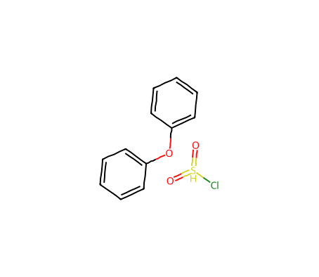 O=[SH](=O)Cl.c1ccc(Oc2ccccc2)cc1